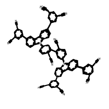 N#Cc1cc(C#N)cc(-c2ccc3c(c2)c2cc(-c4cc(C#N)cc(C#N)c4)ccc2n3-c2ccc(C#N)c(-c3cc(-n4c5ccc(-c6cc(C#N)cc(C#N)c6)cc5c5cc(-c6cc(C#N)cc(C#N)c6)ccc54)ccc3C#N)c2)c1